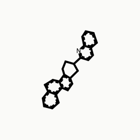 c1ccc2nc(C3CCc4c(ccc5c4ccc4ccccc45)C3)ccc2c1